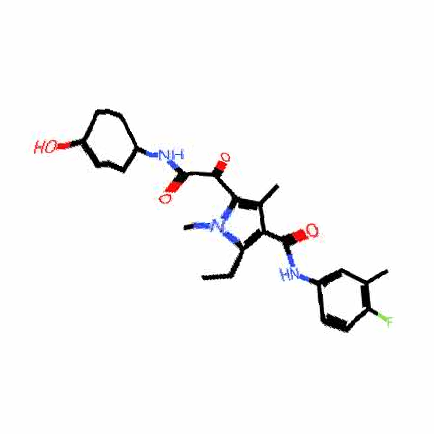 CCc1c(C(=O)Nc2ccc(F)c(C)c2)c(C)c(C(=O)C(=O)NC2CCC(O)CC2)n1C